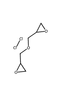 C(OCC1CO1)C1CO1.ClCl